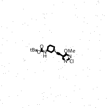 COc1nc(Cl)ncc1C#C[C@@H]1CCC[C@H](NC(=O)OC(C)(C)C)C1